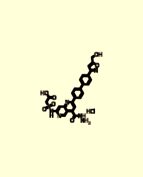 Cl.NNC(=O)c1cc(-c2ccc(-c3ccc(-c4cc(CO)on4)cc3)cc2)nc2cc(NS(=O)(=O)CC(=O)O)ncc12